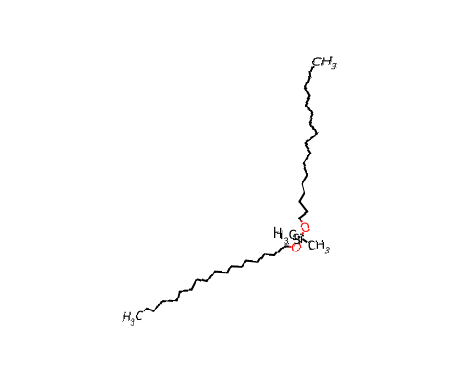 CCCCCCCCCCCCCCCCCCO[Si](C)(C)OCCCCCCCCCCCCCCCCCC